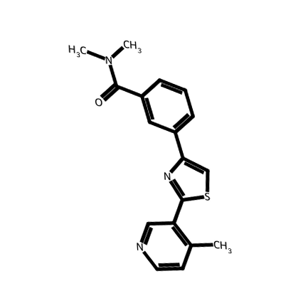 Cc1ccncc1-c1nc(-c2cccc(C(=O)N(C)C)c2)cs1